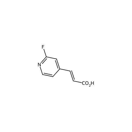 O=C(O)/C=C/c1ccnc(F)c1